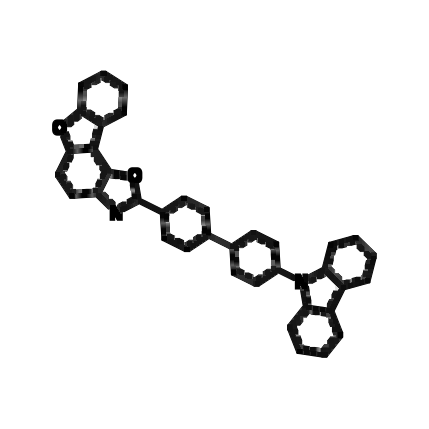 c1ccc2c(c1)oc1ccc3nc(-c4ccc(-c5ccc(-n6c7ccccc7c7ccccc76)cc5)cc4)oc3c12